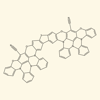 N#Cc1c2c3c4c5c1Oc1cc6sc7cc8c(cc7c6cc1B5c1ccccc1N4c1ccccc1B3c1ccccc1O2)B1c2ccccc2N2c3ccccc3B3c4ccccc4Oc4c(C#N)c(c1c2c43)O8